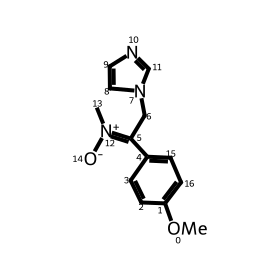 COc1ccc(C(Cn2ccnc2)=[N+](C)[O-])cc1